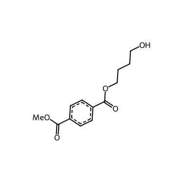 COC(=O)c1ccc(C(=O)OCCCCO)cc1